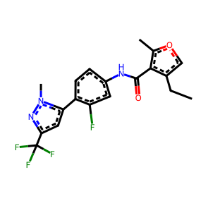 CCc1coc(C)c1C(=O)Nc1ccc(-c2cc(C(F)(F)F)nn2C)c(F)c1